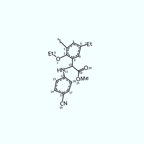 [CH2]COc1c(I)cc(CC)cc1C(Nc1ccc(C#N)cc1)C(=O)OC